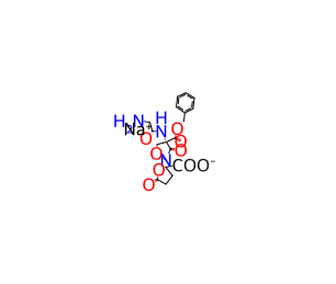 NCC(=O)N[C@@]1(C(=O)OCc2ccccc2)CON(C2(C(=O)[O-])CCC(=O)O2)C1=O.[Na+]